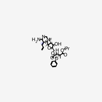 C=C/C=C1/C(N)=NC=NN1[C@]1(C)O[C@H](COP(=O)(N[C@H](C)C(=O)OC(C)C)Oc2ccccc2)[C@@H](O)[C@H]1F